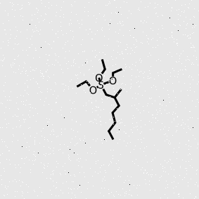 CCCCCC(C)CS(OCC)(OCC)OCC